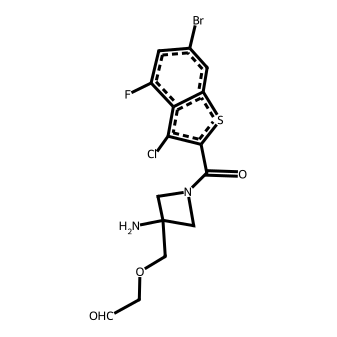 NC1(COCC=O)CN(C(=O)c2sc3cc(Br)cc(F)c3c2Cl)C1